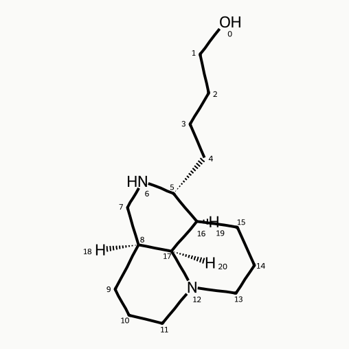 OCCCC[C@H]1NC[C@@H]2CCCN3CCC[C@H]1[C@H]23